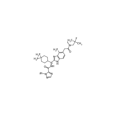 CC(C)n1ncnc1C(=O)N[C@H](c1nc2c(P)c(CC(=O)N(I)CC(C)(C)F)ccc2[nH]1)C1CCC(P)(P)CC1